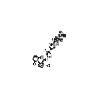 CC1C2CC(CC2OCc2c(-c3c(Cl)cccc3Cl)noc2C2CC2)N1c1ccc(C(=O)NS(=O)(=O)C2COCN2)nc1